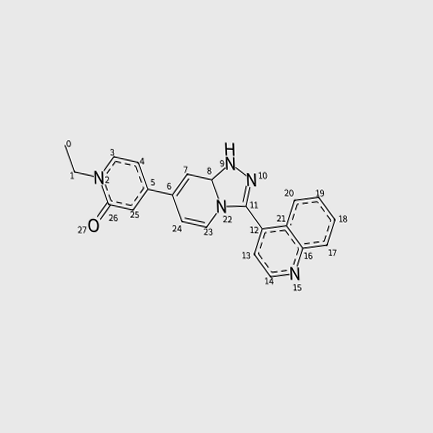 CCn1ccc(C2=CC3NN=C(c4ccnc5ccccc45)N3C=C2)cc1=O